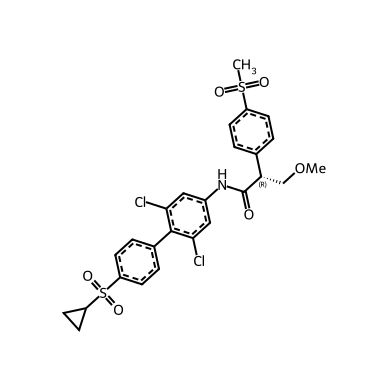 COC[C@H](C(=O)Nc1cc(Cl)c(-c2ccc(S(=O)(=O)C3CC3)cc2)c(Cl)c1)c1ccc(S(C)(=O)=O)cc1